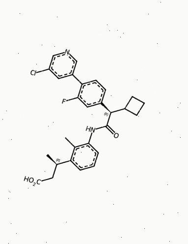 Cc1c(NC(=O)[C@@H](c2ccc(-c3cncc(Cl)c3)c(F)c2)C2CCC2)cccc1[C@H](C)CC(=O)O